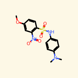 COc1ccc(S(=O)(=O)Nc2ccc(N(C)C)cc2)c([N+](=O)[O-])c1